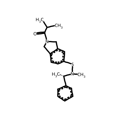 CC(C)C(=O)N1Cc2ccc(SN(C)[C@@H](C)c3ccccc3)cc2C1